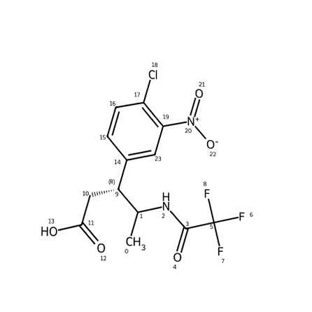 CC(NC(=O)C(F)(F)F)[C@H](CC(=O)O)c1ccc(Cl)c([N+](=O)[O-])c1